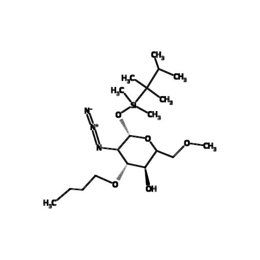 CCCCO[C@@H]1C(N=[N+]=[N-])[C@H](O[Si](C)(C)C(C)(C)C(C)C)OC(COC)[C@H]1O